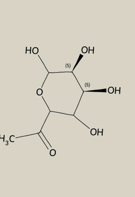 CC(=O)C1OC(O)[C@@H](O)[C@@H](O)C1O